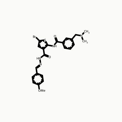 COc1ccc(C=NNC(=O)c2cc(Br)sc2NC(=O)c2cccc(CN(C)C)c2)cc1